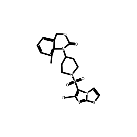 Cc1cccc2c1N(C1CCN(S(=O)(=O)c3c(Cl)nc4sccn34)CC1)C(=O)OC2